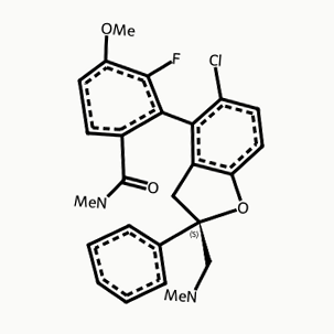 CNC[C@@]1(c2ccccc2)Cc2c(ccc(Cl)c2-c2c(C(=O)NC)ccc(OC)c2F)O1